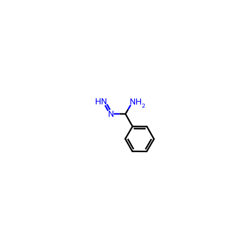 N=NC(N)c1ccccc1